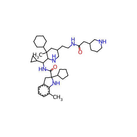 Cc1cccc2c1NC(C(=O)NC(C1CC1)C1NCC(CCNC(=O)CC3CCCNC3)CC1(C)C1CCCCC1)(C1CCCC1)C2